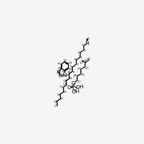 C=NCCCCCCCCCCCCCCCCCC.CC(C)CCCCCOP(=O)(O)O.c1ccc2[nH]nnc2c1